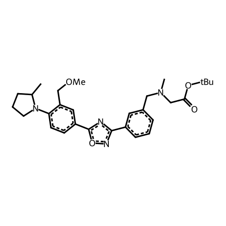 COCc1cc(-c2nc(-c3cccc(CN(C)CC(=O)OC(C)(C)C)c3)no2)ccc1N1CCCC1C